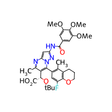 COc1cc(C(=O)Nc2cc3nc(C)c([C@H](OC(C)(C)C)C(=O)O)c(-c4cc(F)c5c(c4C)CCCO5)n3n2)cc(OC)c1OC